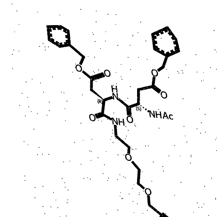 C#CCOCCOCCNC(=O)[C@@H](CC(=O)OCc1ccccc1)NC(=O)[C@H](CC(=O)OCc1ccccc1)NC(C)=O